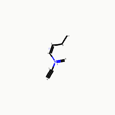 C#C[N+](=C)/C=C\CC